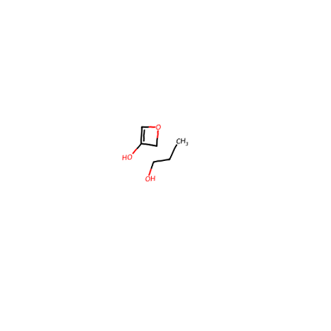 CCCO.OC1=COC1